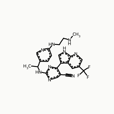 CNCCNc1ccc(C(C)Nc2ncc(C#N)c(-c3c[nH]c4ncc(C(F)(F)F)cc34)n2)cn1